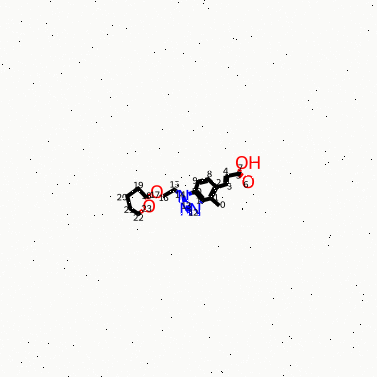 Cc1c(/C=C/C(=O)O)ccc2c1nnn2CCOC1CCCCO1